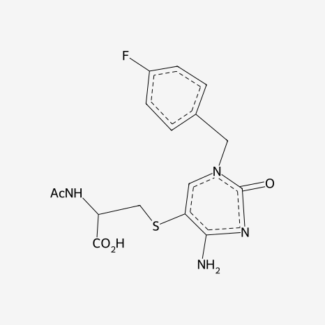 CC(=O)NC(CSc1cn(Cc2ccc(F)cc2)c(=O)nc1N)C(=O)O